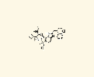 CCNC(=O)[C@H](NC(=O)C(C)(COC)c1ccc2nc(CC(CC)c3ccccc3Cl)[nH]c2c1)C1CCC1